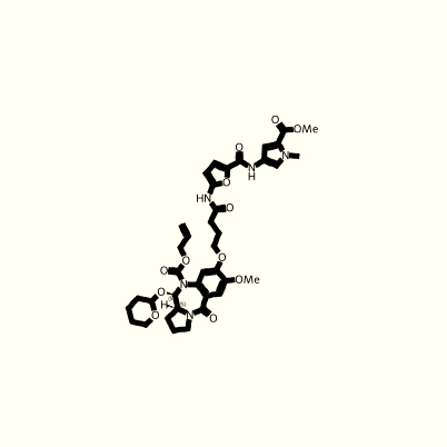 C=CCOC(=O)N1c2cc(OCCCC(=O)Nc3ccc(C(=O)Nc4cc(C(=O)OC)n(C)c4)o3)c(OC)cc2C(=O)N2CCC[C@H]2[C@@H]1OC1CCCCO1